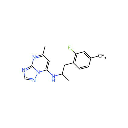 Cc1cc(NC(C)Cc2ccc(C(F)(F)F)cc2F)n2ncnc2n1